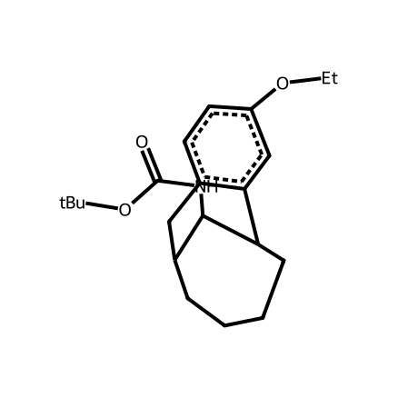 CCOc1ccc2c(c1)C1CCCCC(C2)C1NC(=O)OC(C)(C)C